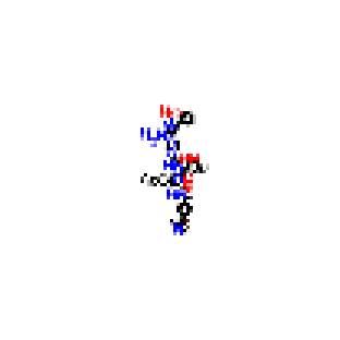 CC(=O)O[C@@H]1C[C@@H](C(=O)N[C@@H](C)c2ccc(-c3scnc3C)cc2)N(C(=O)[C@@H](NC(O)CN2CCN(c3cc(-c4ccccc4O)nnc3N)CC2)C(C)(C)C)C1